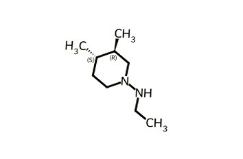 CCNN1CC[C@H](C)[C@@H](C)C1